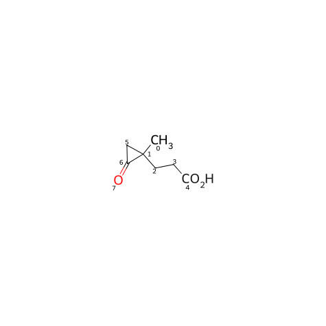 CC1(CCC(=O)O)CC1=O